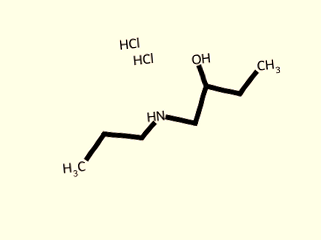 CCCNCC(O)CC.Cl.Cl